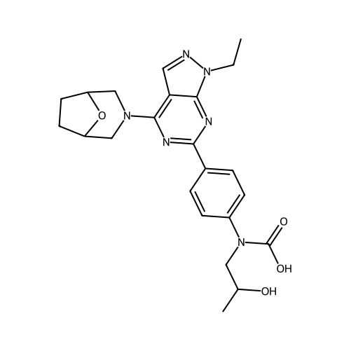 CCn1ncc2c(N3CC4CCC(C3)O4)nc(-c3ccc(N(CC(C)O)C(=O)O)cc3)nc21